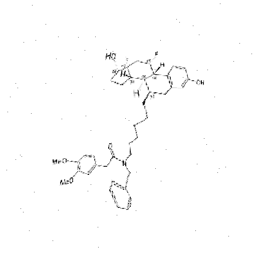 COc1ccc(CC(=O)N(CCCCCC[C@@H]2Cc3cc(O)ccc3[C@@H]3[C@@H]2[C@@H]2CC[C@H](O)[C@@]2(C)C[C@@H]3F)Cc2ccccc2)cc1OC